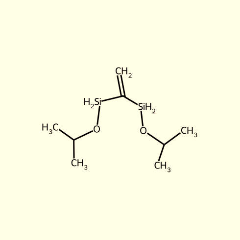 C=C([SiH2]OC(C)C)[SiH2]OC(C)C